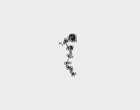 CCN(CC)c1ccc2cc(-c3nc4cc(C(=O)NCCCCCNC(=O)c5cccc(OCC(N=[N+]=[N-])OCC(=O)NCC#Cc6cn([C@H]7CC(OCN=[N+]=[N-])[C@@H](COP(=O)(O)OP(=O)(O)OP(=O)(O)O)O7)c(=O)nc6N)c5)ccc4o3)c(=O)oc2c1